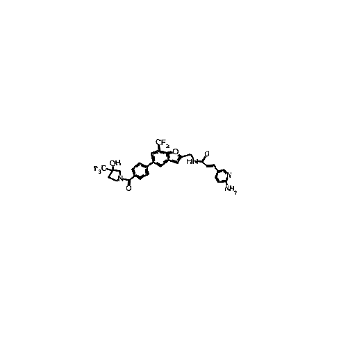 Nc1ccc(/C=C/C(=O)NCc2cc3cc(-c4ccc(C(=O)N5CCC(O)(C(F)(F)F)C5)cc4)cc(C(F)(F)F)c3o2)cn1